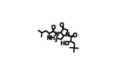 CC(C)CC(N)C(=O)N1CCC2C1C(=O)CN2C(=O)C(O)CC(C)(C)C